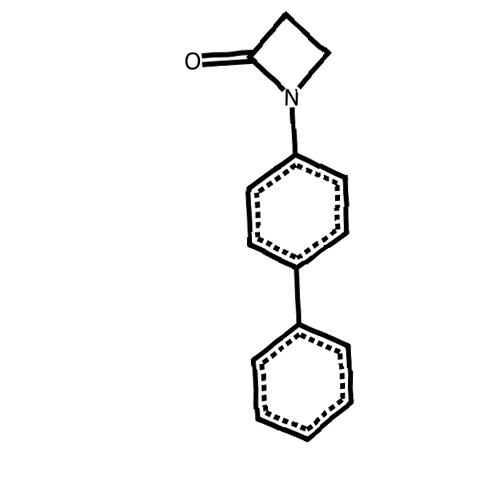 O=C1CCN1c1ccc(-c2ccccc2)cc1